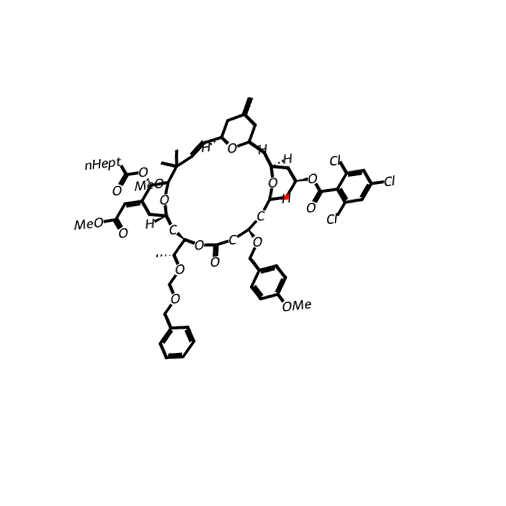 C=C1C[C@H]2C[C@H]3C[C@@H](OC(=O)c4c(Cl)cc(Cl)cc4Cl)C[C@@H](C[C@@H](OCc4ccc(OC)cc4)CC(=O)O[C@@H]([C@@H](C)OCOCc4ccccc4)C[C@@H]4C/C(=C\C(=O)OC)[C@H](OC(=O)CCCCCCC)[C@@](OC)(O4)C(C)(C)/C=C/[C@@H](C1)O2)O3